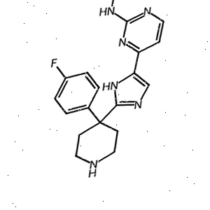 CNc1nccc(-c2cnc(C3(c4ccc(F)cc4)CCNCC3)[nH]2)n1